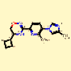 COc1nc(C2=NOCC(C3CCC3)N2)ccc1-n1cnc(C)c1